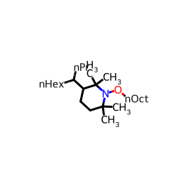 CCCCCCCCON1C(C)(C)CCC(C(CCC)CCCCCC)C1(C)C